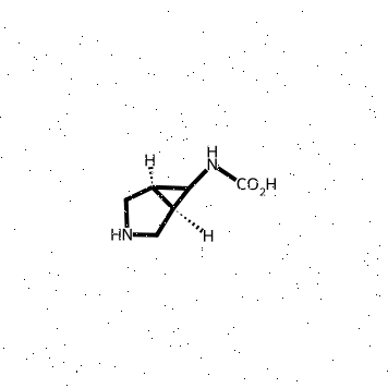 O=C(O)NC1[C@H]2CNC[C@@H]12